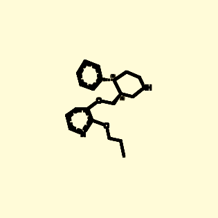 CCCOc1ncccc1OC[C@@H]1CNCC[C@H]1c1ccccc1